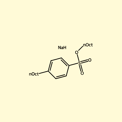 CCCCCCCCOS(=O)(=O)c1ccc(CCCCCCCC)cc1.[NaH]